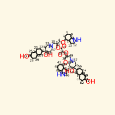 O=C(O[C@H](COc1cccc2[nH]ccc12)CN1CCC(O)(c2ccc3cc(O)ccc3c2)CC1)C(=O)O[C@H](COc1cccc2[nH]ccc12)CN1CCC(O)(c2ccc3cc(O)ccc3c2)CC1